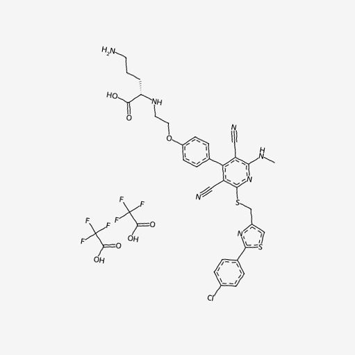 CNc1nc(SCc2csc(-c3ccc(Cl)cc3)n2)c(C#N)c(-c2ccc(OCCN[C@@H](CCCN)C(=O)O)cc2)c1C#N.O=C(O)C(F)(F)F.O=C(O)C(F)(F)F